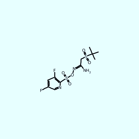 CC(C)(C)S(=O)(=O)CC(N)=NOS(=O)(=O)c1ncc(F)cc1F